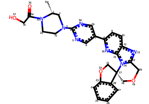 C[C@@H]1CN(c2ncc(-c3ccc4nc5n(c4n3)[C@]3(COC5)COc4ccccc43)cn2)CCN1C(=O)CO